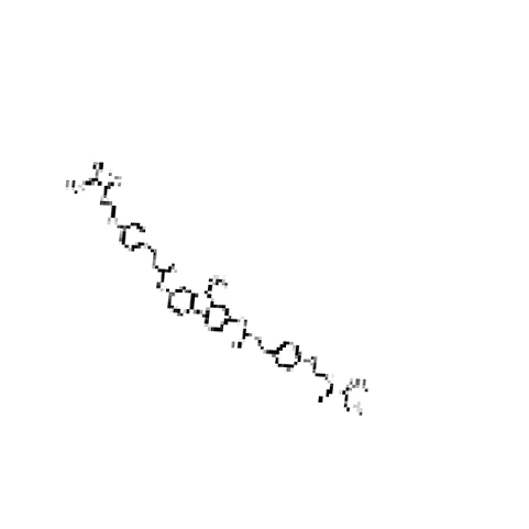 C=C(C)C(=O)OCOc1ccc(CCC(=O)Oc2ccc3c(c2)C(C)c2cc(OC(=O)CCc4ccc(OCOC(=O)C(=C)C)cc4)ccc2-3)cc1